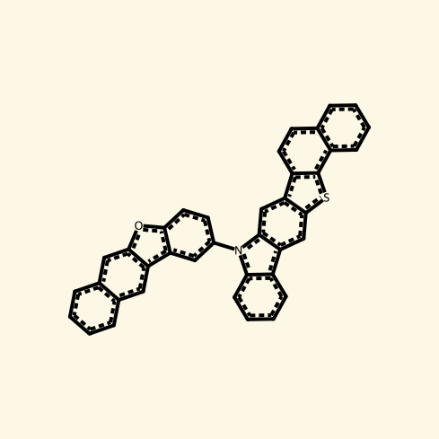 c1ccc2cc3c(cc2c1)oc1ccc(-n2c4ccccc4c4cc5sc6c7ccccc7ccc6c5cc42)cc13